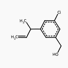 C=C[C](C)c1cc(Cl)cc(CO)c1